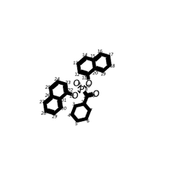 O=C(C1CCCCC1)P(=O)(Oc1cccc2ccccc12)Oc1cccc2ccccc12